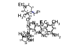 CCN1CC/C(=C\F)[C@](C)(COc2nc(N3C[C@H]4CC[C@@H](C3)N4)c3cnc(-c4c(C#N)c(N)cc(C)c4C(F)(F)F)c(F)c3n2)C1